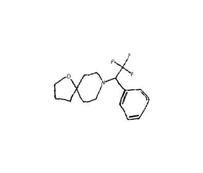 FC(F)(F)C(c1ccccc1)N1CCC2(CCCO2)CC1